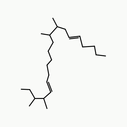 CCCCC=CCC(C)C(C)CCCCCC=CC(C)C(C)CC